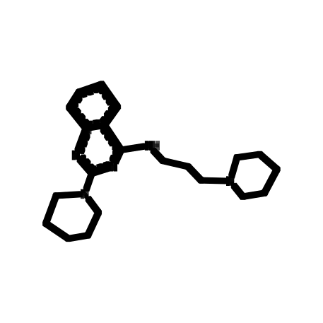 c1ccc2c(NCCCN3CCCCC3)nc(N3CCCCC3)nc2c1